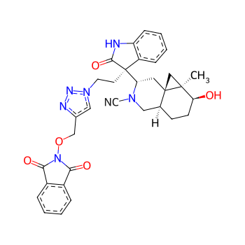 C[C@@]12C[C@@]13C[C@@H]([C@@]1(CCn4cc(CON5C(=O)c6ccccc6C5=O)nn4)C(=O)Nc4ccccc41)N(C#N)C[C@@H]3CC[C@@H]2O